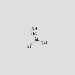 C[CH2][Al]([CH2]C)[CH2]C.[Nd]